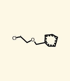 Cl[CH]COCc1ccccc1